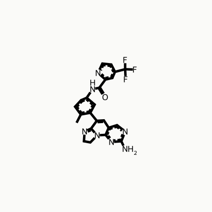 Cc1ccc(NC(=O)c2cc(C(F)(F)F)ccn2)cc1C1=Cc2cnc(N)nc2N2CCN=C12